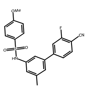 COc1ccc(S(=O)(=O)Nc2cc(C)cc(-c3ccc(C#N)c(F)c3)c2)cc1